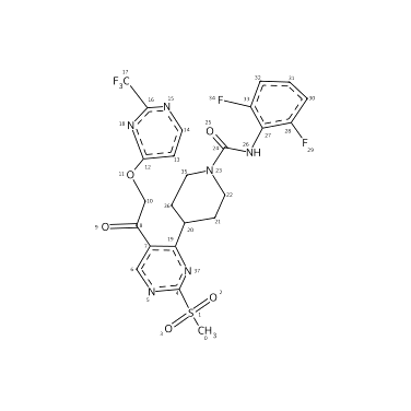 CS(=O)(=O)c1ncc(C(=O)COc2ccnc(C(F)(F)F)n2)c(C2CCN(C(=O)Nc3c(F)cccc3F)CC2)n1